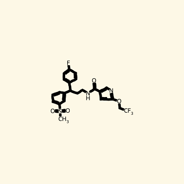 CS(=O)(=O)c1cccc(C(CCNC(=O)c2ccc(OCC(F)(F)F)nc2)c2ccc(F)cc2)c1